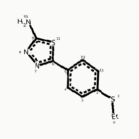 CCSc1ccc(-c2nnc(N)s2)cc1